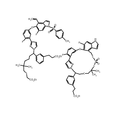 C=Cc1c(Oc2ccc(F)c(-c3ccn(C(CCCC(C)(C)CSCC(=O)OCC)c4cccc(CCC(=O)OCC)c4)n3)c2)c(F)cc2c1ccn2S(=O)(=O)c1ccc(C)cc1.CC1(C)CCCC(c2cccc(CCC(=O)O)c2)n2ccc(n2)-c2cc(ccc2F)Oc2c(F)cc3[nH]ccc3c2CCS(=O)(=O)C1